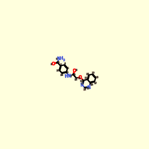 NC(=O)c1ccc(NC(=O)COc2ncnc3ccccc23)cc1